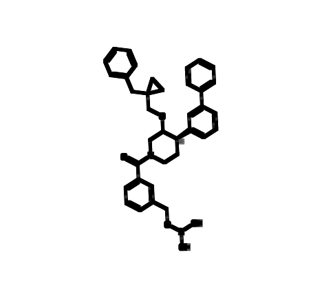 O=C(c1cccc(CON(O)O)c1)N1CC[C@H](c2cccc(-c3ccccc3)c2)C(OCC2(Cc3ccccc3)CC2)C1